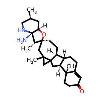 C[C@@H]1CN[C@]2(N)[C@@H](C1)O[C@]1(CC[C@H]3[C@@H]4CCC5=CC(=O)CC[C@]5(C)[C@H]4CC34CC4(C)C1)[C@@H]2C